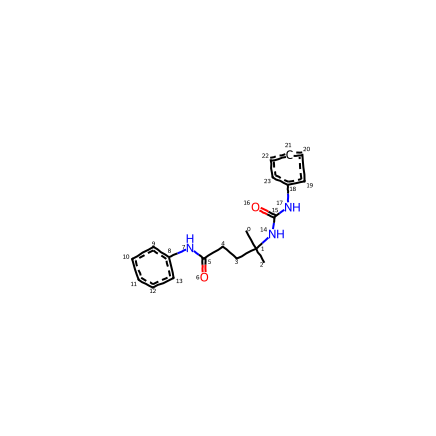 CC(C)(CCC(=O)Nc1ccccc1)NC(=O)Nc1ccccc1